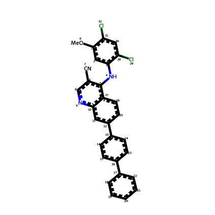 COc1cc(Nc2c(C#N)cnc3cc(-c4ccc(-c5ccccc5)cc4)ccc23)c(Cl)cc1Cl